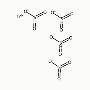 O=[SH](=O)[O-].O=[SH](=O)[O-].O=[SH](=O)[O-].O=[SH](=O)[O-].[Ti+4]